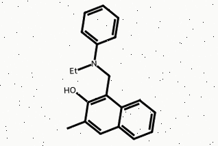 CCN(Cc1c(O)c(C)cc2ccccc12)c1ccccc1